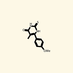 COc1ccc(-c2[nH]c(=S)[nH]c(=O)c2C)cc1